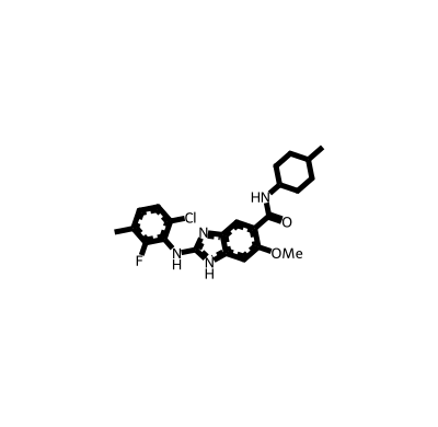 COc1cc2[nH]c(Nc3c(Cl)ccc(C)c3F)nc2cc1C(=O)NC1CCC(C)CC1